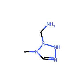 CN1C=NNN1CN